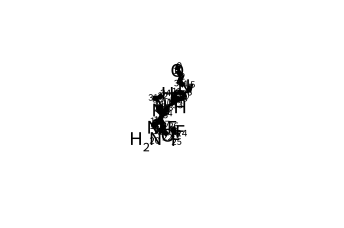 COCCN1CC[C@]12C[C@@H]1[C@H](C2)[C@@H]1c1cc(-c2cnc(N)c(OC(F)(F)F)c2)nn1C(C)C